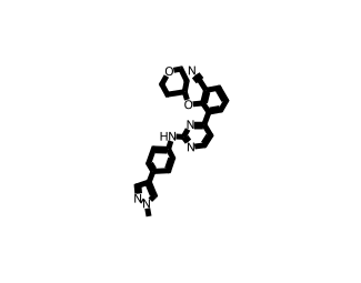 Cn1cc(-c2ccc(Nc3nccc(-c4cccc(C#N)c4OC4CCOCC4)n3)cc2)cn1